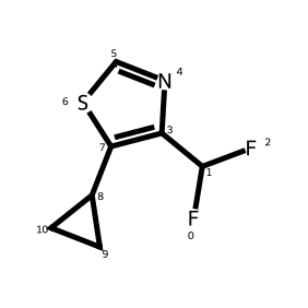 FC(F)c1n[c]sc1C1CC1